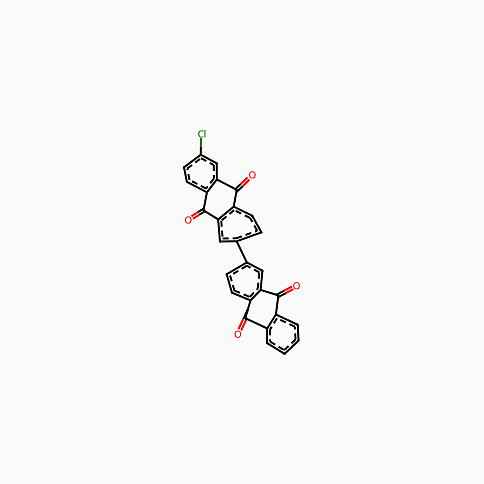 O=C1c2ccccc2C(=O)c2cc(-c3ccc4c(c3)C(=O)c3ccc(Cl)cc3C4=O)ccc21